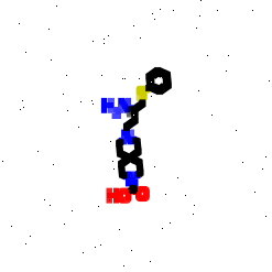 N[C@H](CCN1CCC2(CC1)CCN(C(=O)O)CC2)CSc1ccccc1